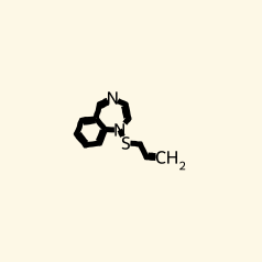 C=CCSN1C=CN=Cc2ccccc21